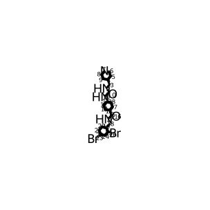 O=C(NCc1ccncc1)Nc1ccc(C(=O)NCc2ccc(Br)cc2Br)cc1